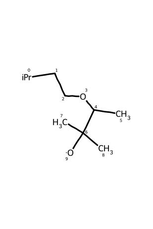 CC(C)CCOC(C)C(C)(C)[O]